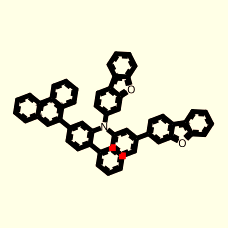 c1ccc(-c2ccc(-c3cc4ccccc4c4ccccc34)cc2N(c2cccc(-c3ccc4c(c3)oc3ccccc34)c2)c2ccc3c(c2)oc2ccccc23)cc1